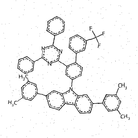 Cc1cc(C)cc(-c2ccc3c4ccc(-c5cc(C)cc(C)c5)cc4n(-c4ccc(-c5cccc(C(F)(F)F)c5)c(-c5nc(-c6ccccc6)nc(-c6ccccc6)n5)c4)c3c2)c1